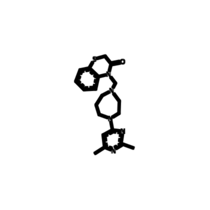 Cc1cc(N2CCCN(CN3C(=O)CSc4ccccc43)CC2)nc(C)n1